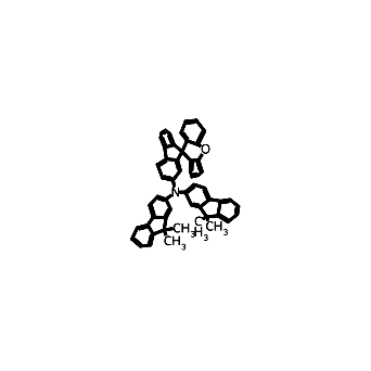 CC1(C)c2ccccc2-c2ccc(N(c3ccc4c(c3)C(C)(C)c3ccccc3-4)c3ccc4c(c3)C3(c5ccccc5Oc5ccccc53)c3ccccc3-4)cc21